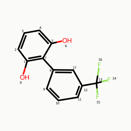 Oc1cccc(O)c1-c1cccc(C(F)(F)F)c1